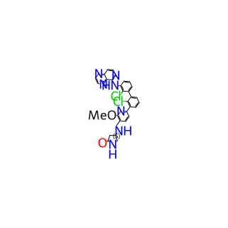 COc1nc(-c2cccc(-c3cccc(Nc4nccc5nccnc45)c3Cl)c2Cl)ccc1CN[C@@H]1CNC(=O)C1